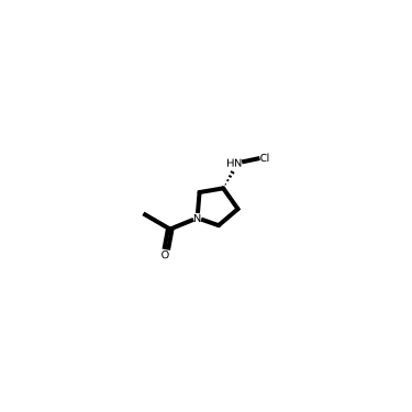 CC(=O)N1CC[C@@H](NCl)C1